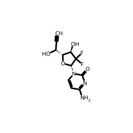 C#CC(O)[C@H]1O[C@@H](n2ccc(N)nc2=O)C(F)(F)[C@@H]1O